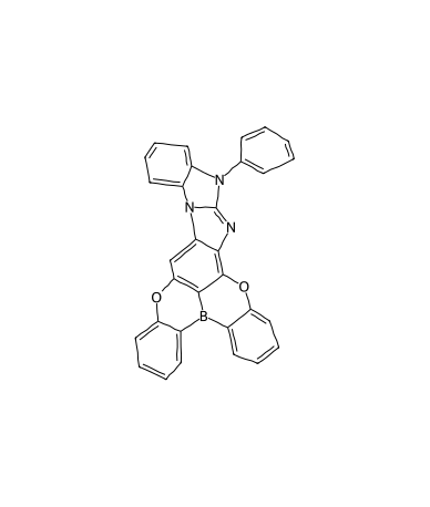 c1ccc(-n2c3ccccc3n3c4cc5c6c(c4nc23)Oc2ccccc2B6c2ccccc2O5)cc1